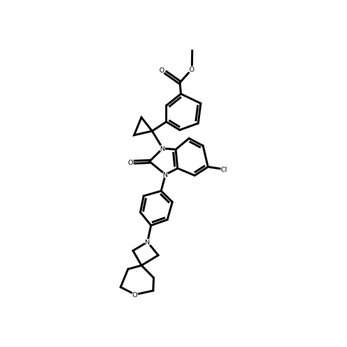 COC(=O)c1cccc(C2(n3c(=O)n(-c4ccc(N5CC6(CCOCC6)C5)cc4)c4cc(Cl)ccc43)CC2)c1